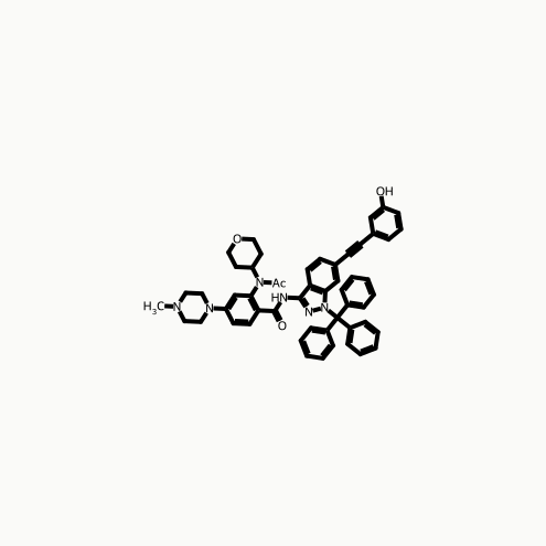 CC(=O)N(c1cc(N2CCN(C)CC2)ccc1C(=O)Nc1nn(C(c2ccccc2)(c2ccccc2)c2ccccc2)c2cc(C#Cc3cccc(O)c3)ccc12)C1CCOCC1